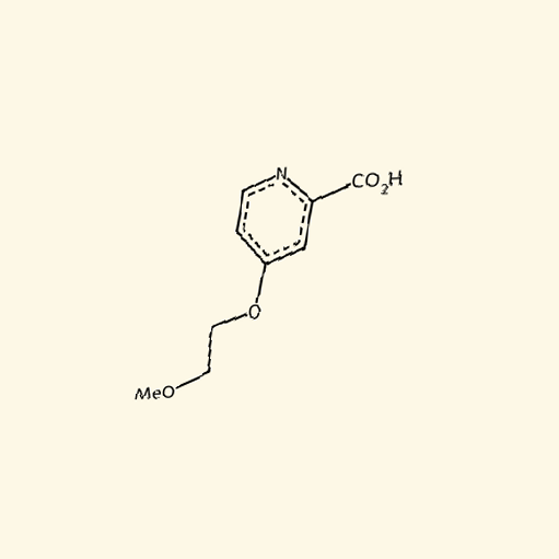 COCCOc1ccnc(C(=O)O)c1